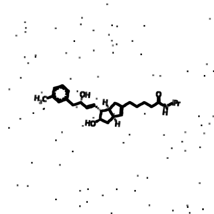 Cc1cccc(C[C@H](O)/C=C/[C@@H]2[C@H]3CC(CCCCC(=O)NC(C)C)=C[C@H]3C[C@H]2O)c1